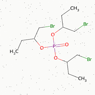 CCC(CBr)OP(=O)(OC(CC)CBr)OC(CC)CBr